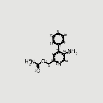 NC(=O)OCc1cc(-c2ccccc2)c(N)cn1